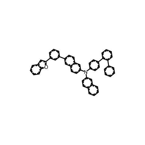 c1ccc(-c2ccccc2-c2ccc(N(c3ccc4ccccc4c3)c3ccc4cc(-c5cccc(-c6cc7ccccc7o6)c5)ccc4c3)cc2)cc1